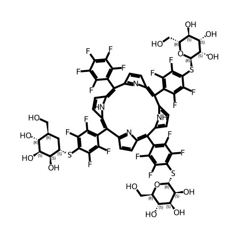 OC[C@H]1C[C@H](Sc2c(F)c(F)c(-c3c4nc(c(-c5c(F)c(F)c(S[C@H]6O[C@H](CO)[C@@H](O)[C@H](O)[C@@H]6O)c(F)c5F)c5ccc([nH]5)c(-c5c(F)c(F)c(S[C@H]6O[C@H](CO)[C@@H](O)[C@H](O)[C@@H]6O)c(F)c5F)c5nc(c(-c6c(F)c(F)c(F)c(F)c6F)c6ccc3[nH]6)C=C5)C=C4)c(F)c2F)[C@@H](O)[C@@H](O)[C@@H]1O